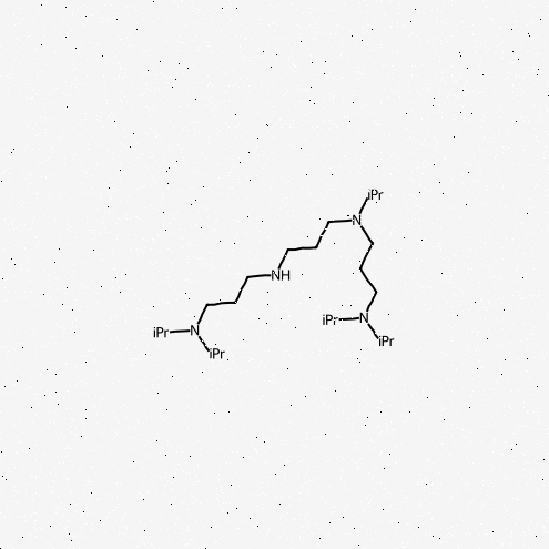 CC(C)N(CCCNCCCN(C(C)C)C(C)C)CCCN(C(C)C)C(C)C